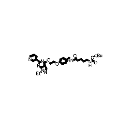 CCn1ncc2c(N(C)CCOc3ccc(CNC(=O)CCCCNC(=O)OC(C)(C)C)cc3)nc(-c3cccnc3)nc21